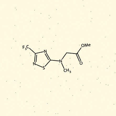 COC(=O)CN(C)c1nc(C(F)(F)F)ns1